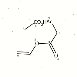 C=COC(=O)CC(C)=O.CC(=O)O